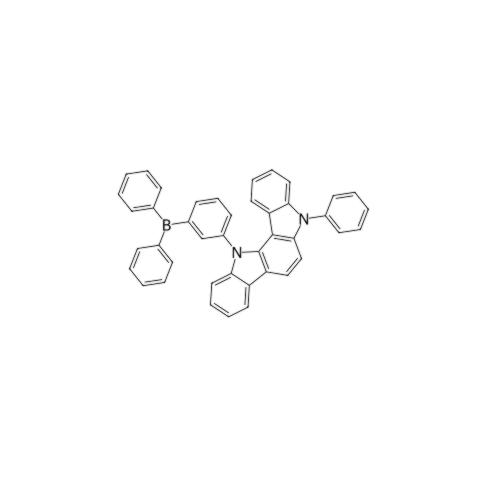 c1ccc(B(c2ccccc2)c2cccc(-n3c4ccccc4c4ccc5c(c6ccccc6n5-c5ccccc5)c43)c2)cc1